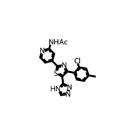 CC(=O)Nc1cc(-c2nc(-c3ccc(C)cc3Cl)c(-c3nnc[nH]3)s2)ccn1